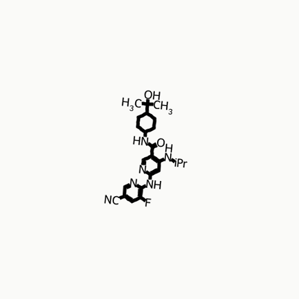 CC(C)Nc1cc(Nc2ncc(C#N)cc2F)ncc1C(=O)NC1CCC(C(C)(C)O)CC1